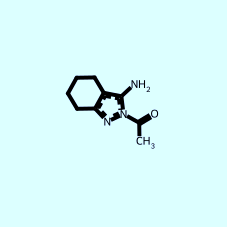 CC(=O)n1nc2c(c1N)CCCC2